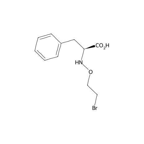 O=C(O)[C@H](Cc1ccccc1)NOCCBr